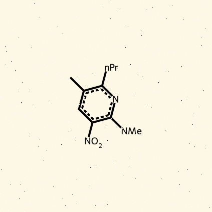 CCCc1nc(NC)c([N+](=O)[O-])cc1C